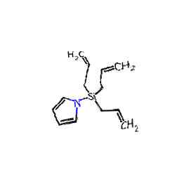 C=CC[Si](CC=C)(CC=C)n1cccc1